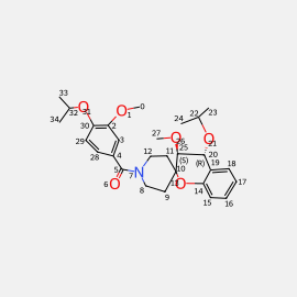 COc1cc(C(=O)N2CCC3(CC2)Oc2ccccc2[C@@H](OC(C)C)[C@@H]3OC)ccc1OC(C)C